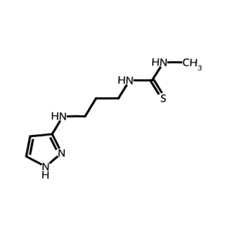 CNC(=S)NCCCNc1cc[nH]n1